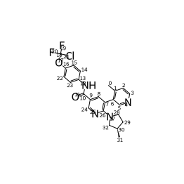 Cc1ccncc1-c1cc(C(=O)Nc2ccc(OC(F)(F)Cl)cc2)cnc1N1CC[C@@H](C)C1